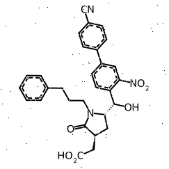 N#Cc1ccc(-c2ccc(C(O)[C@@H]3C[C@@H](CC(=O)O)C(=O)N3CCCc3ccccc3)c([N+](=O)[O-])c2)cc1